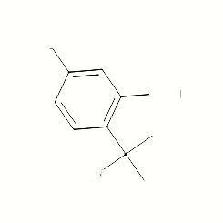 CC(C)(c1ccc(Cl)cc1S(=O)(=O)O)[N+](=O)[O-]